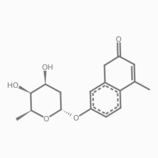 CC1=CC(=O)Cc2cc(O[C@H]3C[C@H](O)[C@H](O)[C@H](C)O3)ccc21